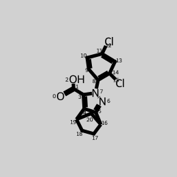 O=C(O)c1c2c(nn1-c1ccc(Cl)cc1Cl)C1CCC2C1